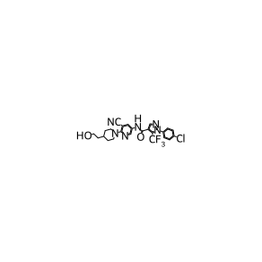 N#Cc1cc(NC(=O)c2cnn(-c3ccc(Cl)cc3)c2C(F)(F)F)cnc1N1CCC(CCO)CC1